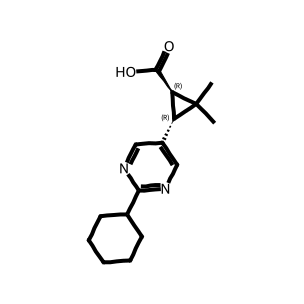 CC1(C)[C@H](C(=O)O)[C@H]1c1cnc(C2CCCCC2)nc1